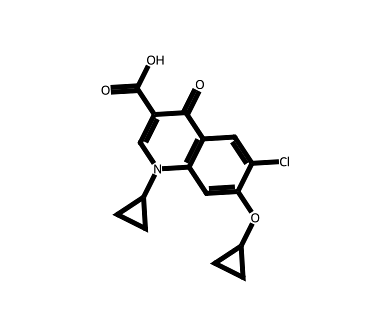 O=C(O)c1cn(C2CC2)c2cc(OC3CC3)c(Cl)cc2c1=O